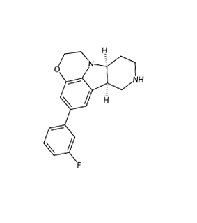 Fc1cccc(-c2cc3c4c(c2)[C@@H]2CNCC[C@@H]2N4CCO3)c1